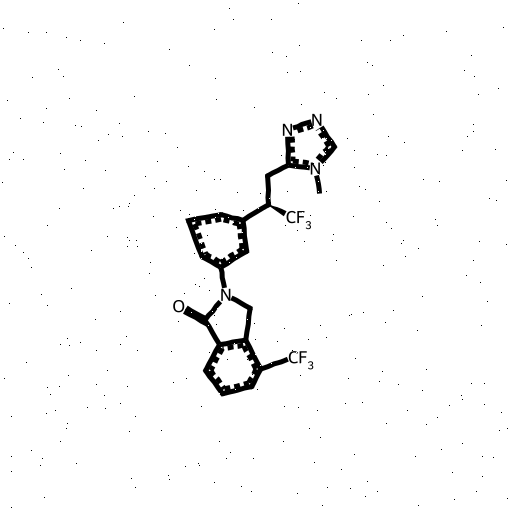 Cn1cnnc1C[C@H](c1cccc(N2Cc3c(cccc3C(F)(F)F)C2=O)c1)C(F)(F)F